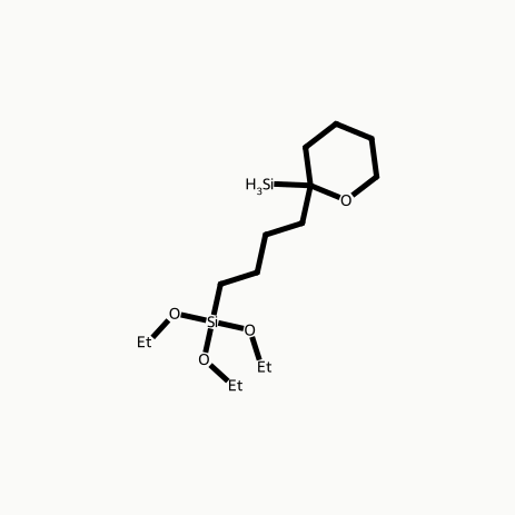 CCO[Si](CCCCC1([SiH3])CCCCO1)(OCC)OCC